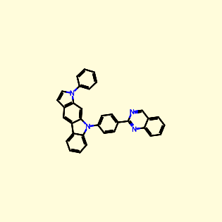 c1ccc(-n2ccc3cc4c5ccccc5n(-c5ccc(-c6ncc7ccccc7n6)cc5)c4cc32)cc1